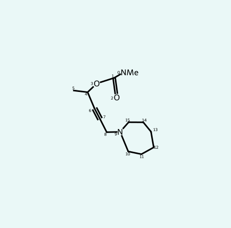 CNC(=O)OC(C)C#CCN1CCCCCC1